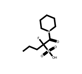 CCCC(F)(C(=O)N1CCCCC1)S(=O)(=O)O